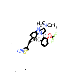 CN(C)[C@@H]1C[C@H](c2c(C=O)cccc2OC(F)F)n2c1nc1ccc(C#CC3=CSNC3)cc12